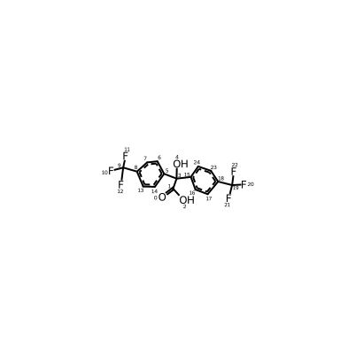 O=C(O)C(O)(c1ccc(C(F)(F)F)cc1)c1ccc(C(F)(F)F)cc1